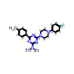 CCN(CC)c1nc(-c2ccc(C)cc2)nc(N2CCN(c3ccc(F)cc3)CC2)n1